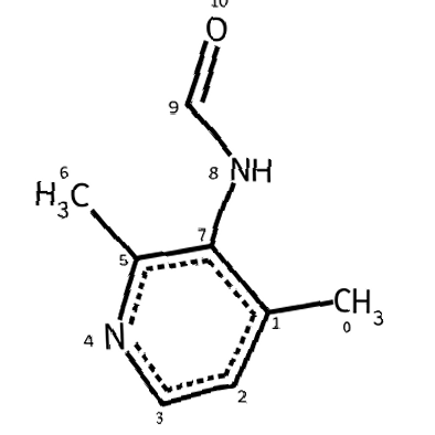 Cc1ccnc(C)c1NC=O